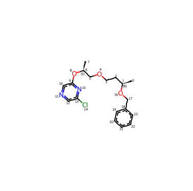 C[C@H](CCOC[C@H](C)Oc1cncc(Cl)n1)OCc1ccccc1